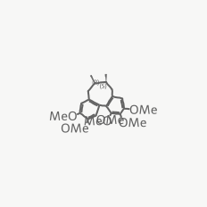 COc1cc2c(c(OC)c1OC)-c1c(cc(OC)c(OC)c1OC)C[C@H](C)[C@H](C)C2